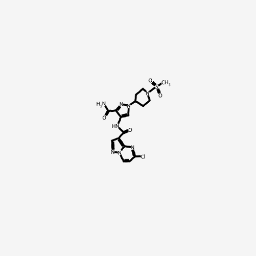 CS(=O)(=O)N1CCC(n2cc(NC(=O)c3cnn4ccc(Cl)nc34)c(C(N)=O)n2)CC1